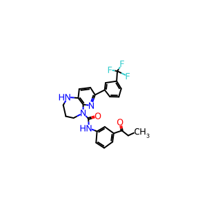 CCC(=O)c1cccc(NC(=O)N2CCCNc3ccc(-c4cccc(C(F)(F)F)c4)nc32)c1